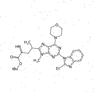 CCc1nc2ccccc2n1-c1nc(N2CCOCC2)c2nc(C(C)CC(=N)C(=O)OC(C)(C)C)n(C)c2n1